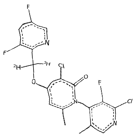 [2H]C([2H])(Oc1cc(C)n(-c2c(C)cnc(Cl)c2F)c(=O)c1Cl)c1ncc(F)cc1F